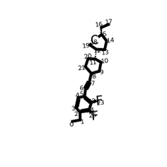 CCc1ccc(C#CC2CCC([C@H]3CC[C@H](CC)CC3)CC2)c(F)c1F